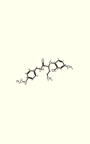 CCCC(Oc1ccc(C)cc1Cl)C(=O)NCc1ccc(OC)cc1